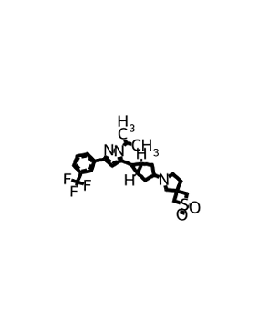 CC(C)n1nc(-c2cccc(C(F)(F)F)c2)cc1C1[C@H]2CC(N3CCC4(C3)CS(=O)(=O)C4)C[C@@H]12